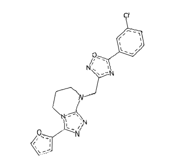 Clc1cccc(-c2nc(CN3CCCn4c(-c5ccco5)nnc43)no2)c1